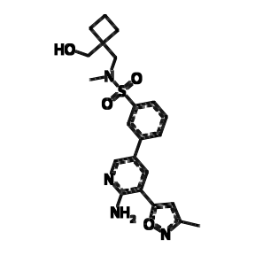 Cc1cc(-c2cc(-c3cccc(S(=O)(=O)N(C)CC4(CO)CCC4)c3)cnc2N)on1